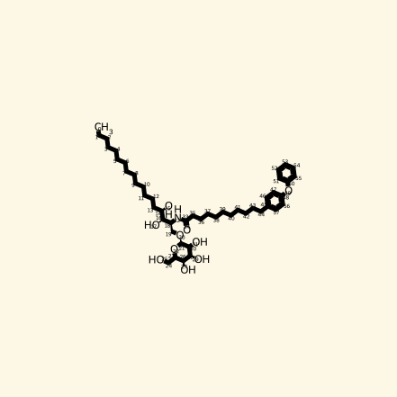 CCCCCCCCCCCCCC[C@@H](O)[C@@H](O)[C@H](CO[C@H]1OC(CO)[C@H](O)[C@H](O)C1O)NC(=O)CCCCCCCCCCc1ccc(Oc2ccccc2)cc1